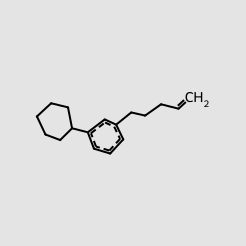 C=CCCCc1cccc(C2CCCCC2)c1